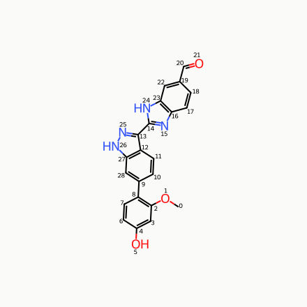 COc1cc(O)ccc1-c1ccc2c(-c3nc4ccc(C=O)cc4[nH]3)n[nH]c2c1